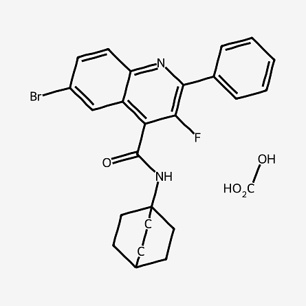 O=C(NC12CCC(CC1)CC2)c1c(F)c(-c2ccccc2)nc2ccc(Br)cc12.O=C(O)O